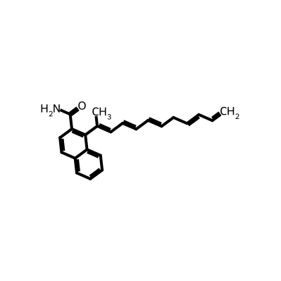 C=CC=CCC=CC=CC=C(C)c1c(C(N)=O)ccc2ccccc12